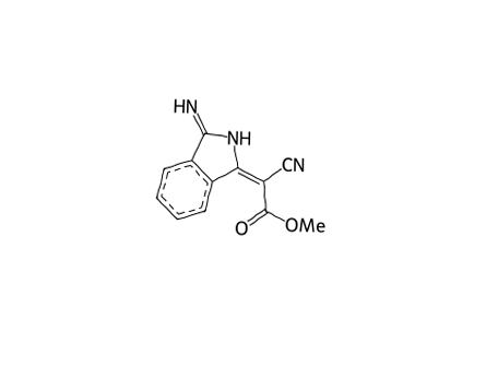 COC(=O)C(C#N)=C1NC(=N)c2ccccc21